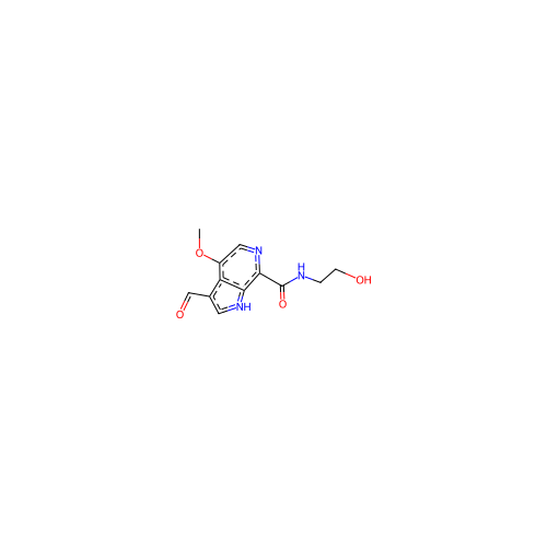 COc1cnc(C(=O)NCCO)c2[nH]cc(C=O)c12